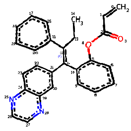 C=CC(=O)Oc1ccccc1/C(=C(\CC)c1ccccc1)c1ccc2nccnc2c1